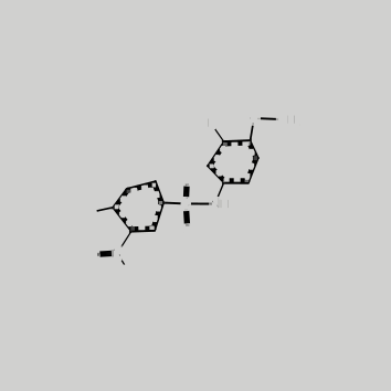 COc1ccc(NS(=O)(=O)c2ccc(F)c([N+](=O)[O-])c2)cc1F